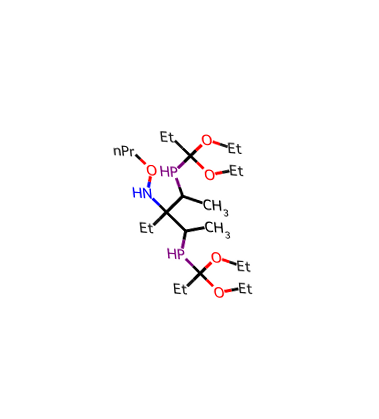 CCCONC(CC)(C(C)PC(CC)(OCC)OCC)C(C)PC(CC)(OCC)OCC